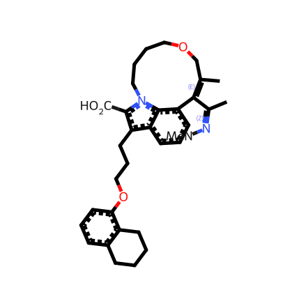 CN/N=C(C)\C1=C(/C)COCCCCn2c(C(=O)O)c(CCCOc3cccc4c3CCCC4)c3cccc1c32